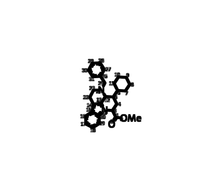 COC(=O)C1CC(C2CCCCC2)C2c3c(c4ccccc4n31)CCN2Cc1ccccc1